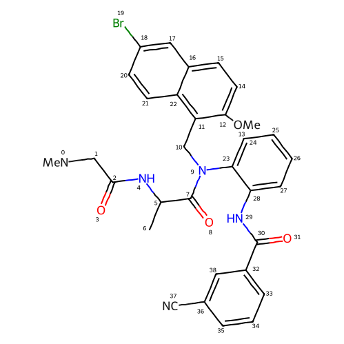 CNCC(=O)NC(C)C(=O)N(Cc1c(OC)ccc2cc(Br)ccc12)c1ccccc1NC(=O)c1cccc(C#N)c1